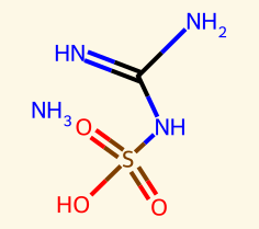 N.N=C(N)NS(=O)(=O)O